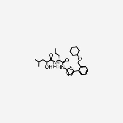 CCC[C@H](NC(=O)C(O)CC(C)C)C(=O)Nc1ncc(-c2ccccc2COC2CCCCC2)s1